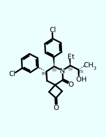 CC[C@@H]([C@H](C)O)N1C(=O)C2(CC(=O)C2)C[C@H](c2cccc(Cl)c2)[C@H]1c1ccc(Cl)cc1